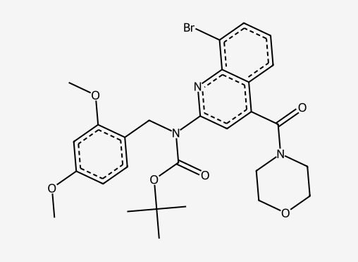 COc1ccc(CN(C(=O)OC(C)(C)C)c2cc(C(=O)N3CCOCC3)c3cccc(Br)c3n2)c(OC)c1